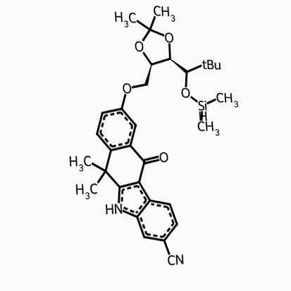 C[SiH](C)OC([C@@H]1OC(C)(C)O[C@@H]1COc1ccc2c(c1)C(=O)c1c([nH]c3cc(C#N)ccc13)C2(C)C)C(C)(C)C